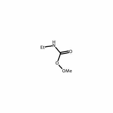 CCNC(=O)OOC